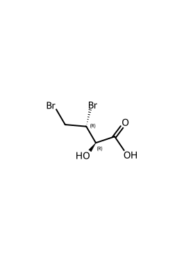 O=C(O)[C@@H](O)[C@@H](Br)CBr